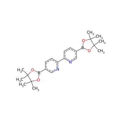 CC1(C)OB(c2ccc(-c3ccc(B4OC(C)(C)C(C)(C)O4)cn3)nc2)OC1(C)C